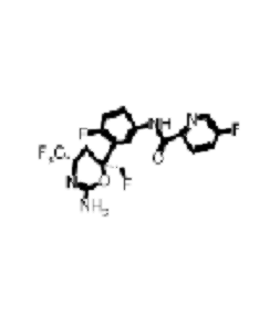 NC1=N[C@H](C(F)(F)F)C[C@@](CF)(c2cc(NC(=O)c3ccc(F)cn3)ccc2F)O1